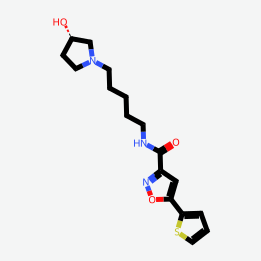 O=C(NCCCCCN1CC[C@H](O)C1)c1cc(-c2cccs2)on1